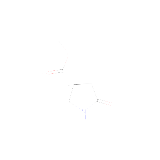 COC(=O)[C@H]1CNC(=O)C1